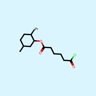 CC1CCC(C(C)C)C(OC(=O)CCCCC(=O)Cl)C1